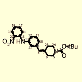 CC(C)(C)OC(=O)N1CCC(=Cc2cccc(Nc3ccccc3[N+](=O)[O-])c2)CC1